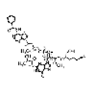 CO[C@H](COP(O)(=S)O[C@@H]([C@H](F)[C@@H](COC(CO)CCCC#N)OC)n1cnc2c(=O)[nH]c(NC(=O)C(C)C)nc21)C[C@H](F)n1cnc2c(NC(=O)c3ccccc3)ncnc21